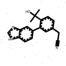 CC(C)(O)c1ccc(CC#N)cc1-c1ccc2[nH]cnc2c1